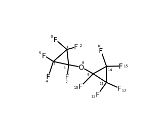 FC1(F)C(F)(F)C1(F)OC1(F)C(F)(F)C1(F)F